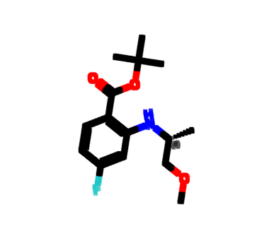 COC[C@@H](C)Nc1cc(F)ccc1C(=O)OC(C)(C)C